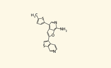 Cc1ccc(-c2cnc(N)c3oc(-c4csc5cnccc45)cc23)s1